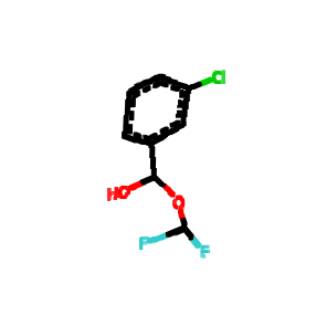 OC(OC(F)F)c1cccc(Cl)c1